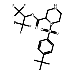 CC(C)(C)c1ccc(S(=O)(=O)N2CCNCC2C(=O)OC(C(F)(F)F)C(F)(F)F)cc1